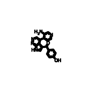 Nc1cnccc1-c1cnnc2[nH]cc(C(=O)c3ccc(O)cc3)c12